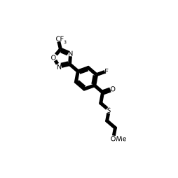 COCCSCC(=O)c1ccc(-c2noc(C(F)(F)F)n2)cc1F